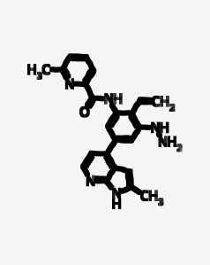 C=Cc1c(NN)cc(-c2ccnc3[nH]c(C)cc23)cc1NC(=O)c1cccc(C)n1